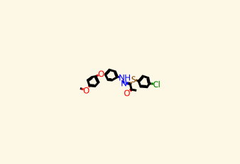 COc1ccc(Oc2ccc(NN=C(Sc3ccc(Cl)cc3)C(C)=O)cc2)cc1